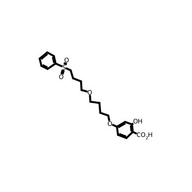 O=C(O)c1ccc(OCCCCOCCCCS(=O)(=O)c2ccccc2)cc1O